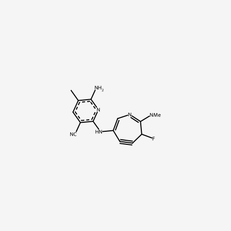 CNC1=NC=C(Nc2nc(N)c(C)cc2C#N)C#CC1F